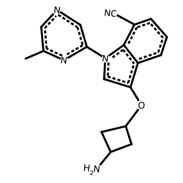 Cc1cncc(-n2cc(OC3CC(N)C3)c3cccc(C#N)c32)n1